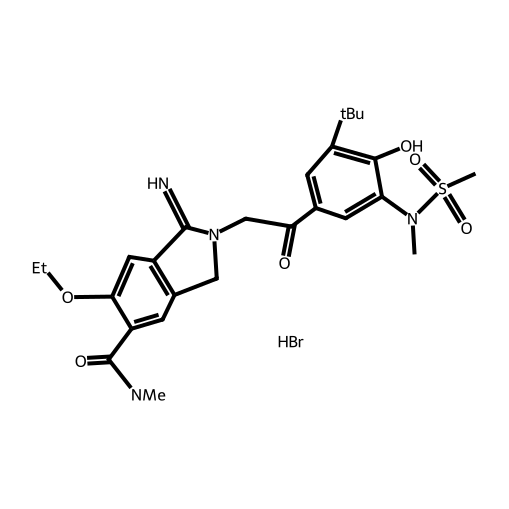 Br.CCOc1cc2c(cc1C(=O)NC)CN(CC(=O)c1cc(N(C)S(C)(=O)=O)c(O)c(C(C)(C)C)c1)C2=N